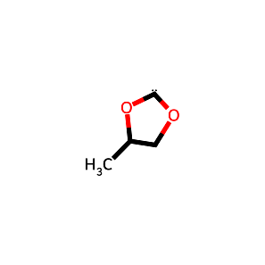 CC1CO[C]O1